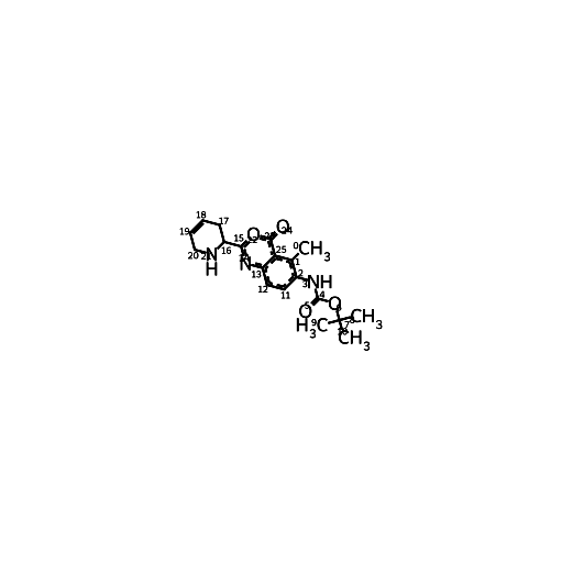 Cc1c(NC(=O)OC(C)(C)C)ccc2nc(C3CC=CCN3)oc(=O)c12